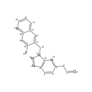 O=CCc1ccc2nnn(Cc3cc4cccnc4cc3F)c2n1